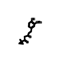 COc1cc(CCC(=O)CC(=O)C2(C)CC2)ccc1O